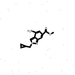 Bc1cc(C(=O)OC)cc2nn(CC3CC3)cc12